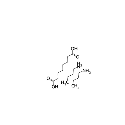 CCCCN.CCCCN.O=C(O)CCCCCCC(=O)O